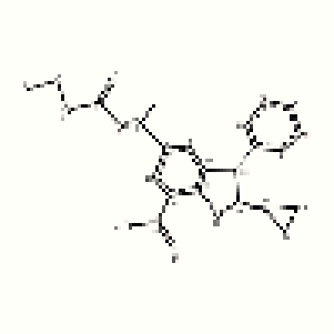 CCOC(=O)/C=C(\C)c1cc2c(c([N+](=O)[O-])c1)O[C@H](C1CC1)[C@H]2c1ccccc1